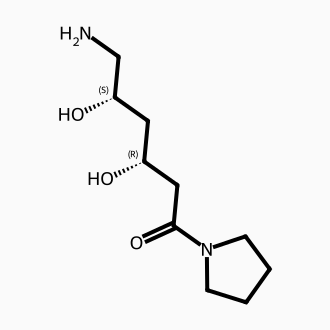 NC[C@@H](O)C[C@@H](O)CC(=O)N1CCCC1